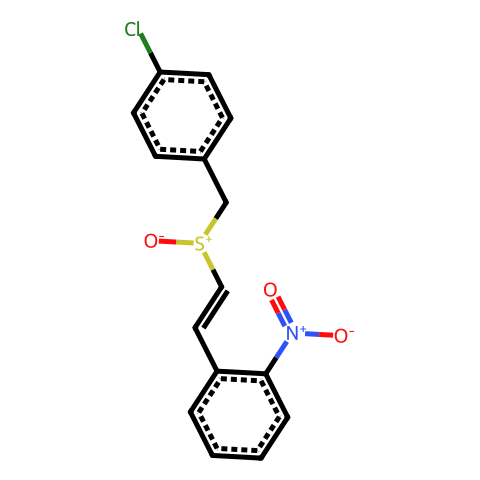 O=[N+]([O-])c1ccccc1C=C[S+]([O-])Cc1ccc(Cl)cc1